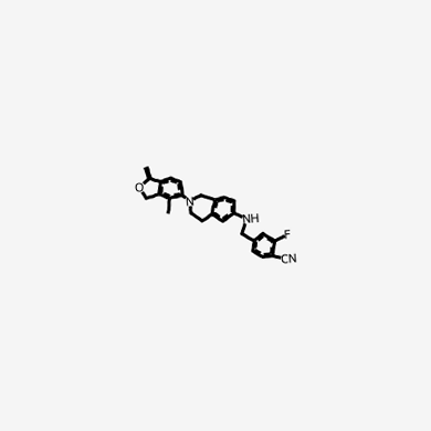 C=C1OCc2c1ccc(N1CCc3cc(NCc4ccc(C#N)c(F)c4)ccc3C1)c2C